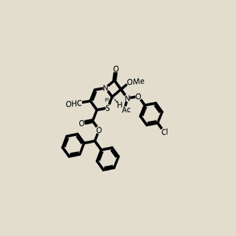 COC1(N(Oc2ccc(Cl)cc2)C(C)=O)C(=O)N2C=C(C=O)C(C(=O)OC(c3ccccc3)c3ccccc3)S[C@@H]21